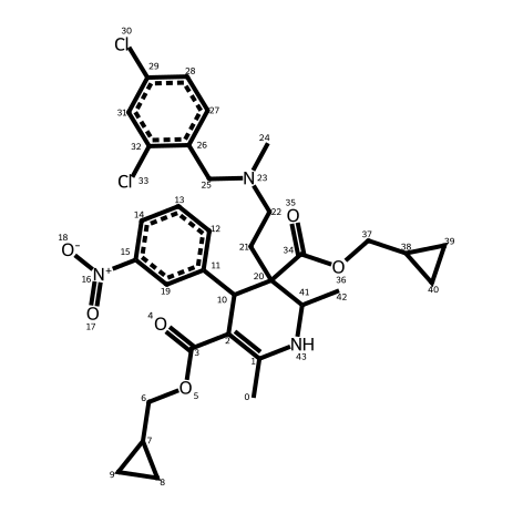 CC1=C(C(=O)OCC2CC2)C(c2cccc([N+](=O)[O-])c2)C(CCN(C)Cc2ccc(Cl)cc2Cl)(C(=O)OCC2CC2)C(C)N1